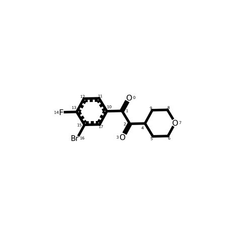 O=C(C(=O)C1CCOCC1)c1ccc(F)c(Br)c1